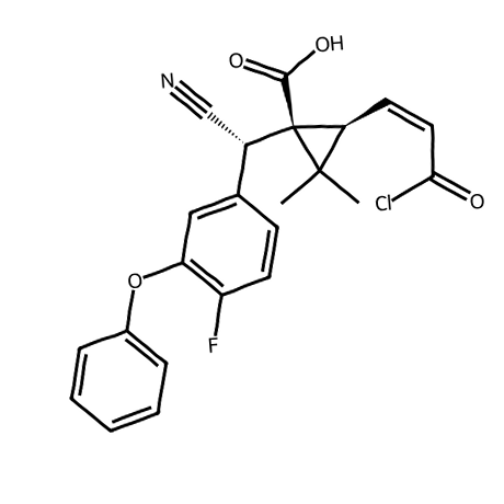 CC1(C)[C@H](/C=C\C(=O)Cl)[C@@]1(C(=O)O)[C@@H](C#N)c1ccc(F)c(Oc2ccccc2)c1